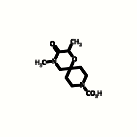 CC1OC2(CCN(C(=O)O)CC2)CN(C)C1=O